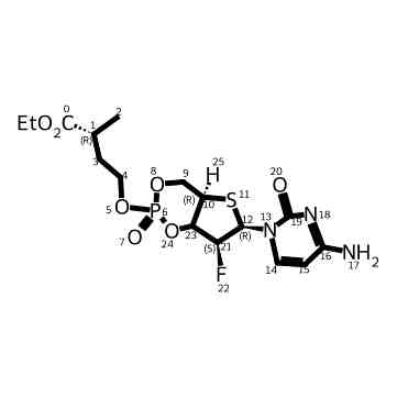 CCOC(=O)[C@H](C)CCOP1(=O)OC[C@H]2S[C@@H](n3ccc(N)nc3=O)[C@@H](F)C2O1